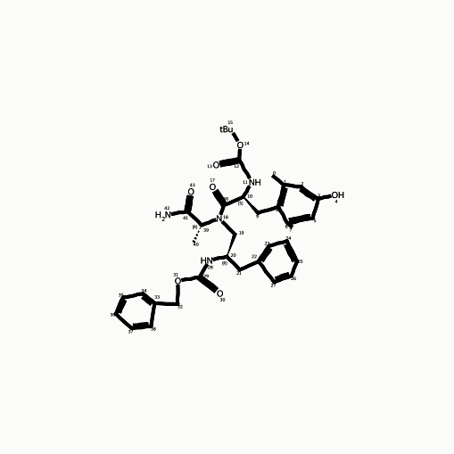 Cc1cc(O)cc(C)c1C[C@H](NC(=O)OC(C)(C)C)C(=O)N(C[C@@H](Cc1ccccc1)NC(=O)OCc1ccccc1)[C@H](C)C(N)=O